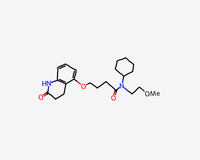 COCCN(C(=O)CCCOc1cccc2c1CCC(=O)N2)C1CCCCC1